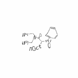 CCCCCCCCC(C(=O)N(CC(C)C)CC(C)C)[PH](=O)c1ccccc1